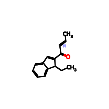 C/C=C/C(=O)C1=Cc2ccccc2C1CC